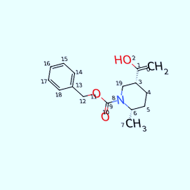 C=C(O)[C@@H]1CC[C@H](C)N(C(=O)OCc2ccccc2)C1